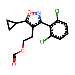 O=COCCc1c(-c2c(Cl)cccc2Cl)noc1C1CC1